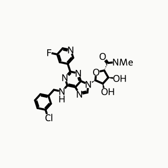 CNC(=O)[C@H]1O[C@@H](n2cnc3c(NCc4cccc(Cl)c4)nc(-c4cncc(F)c4)nc32)[C@H](O)[C@@H]1O